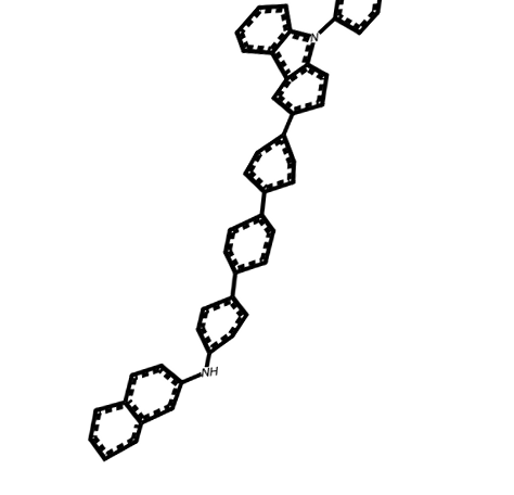 c1ccc(-n2c3ccccc3c3cc(-c4ccc(-c5ccc(-c6ccc(Nc7ccc8ccccc8c7)cc6)cc5)cc4)ccc32)cc1